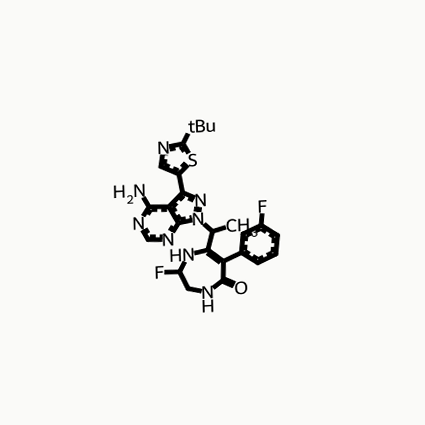 CC(C1=C(c2cccc(F)c2)C(=O)NCC(F)N1)n1nc(-c2cnc(C(C)(C)C)s2)c2c(N)ncnc21